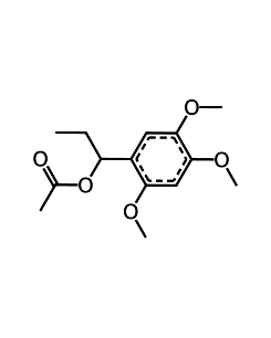 CCC(OC(C)=O)c1cc(OC)c(OC)cc1OC